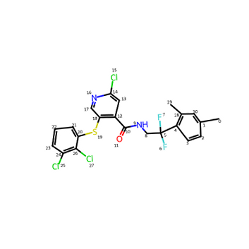 Cc1ccc(C(F)(F)CNC(=O)c2cc(Cl)ncc2Sc2cccc(Cl)c2Cl)c(C)c1